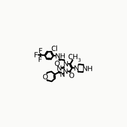 CCc1c(N2CCNCC2)c(=O)n2nc(C3=CCCOCC3)nc2n1CC(=O)Nc1ccc(C(F)(F)F)cc1Cl